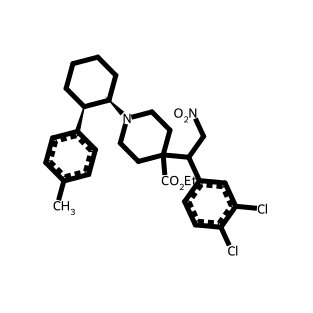 CCOC(=O)C1(C(C[N+](=O)[O-])c2ccc(Cl)c(Cl)c2)CCN([C@@H]2CCCC[C@@H]2c2ccc(C)cc2)CC1